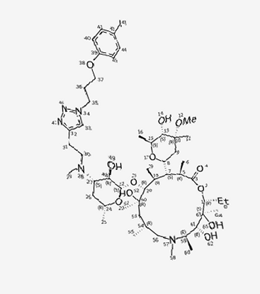 CC[C@H]1OC(=O)[C@H](C)[C@@H](C2C[C@@](C)(OC)[C@@H](O)[C@H](C)O2)[C@H](C)[C@@H](O[C@@H]2O[C@H](C)C[C@H](N(C)CCc3cn(CCCOc4ccc(I)cc4)nn3)[C@H]2O)[C@](C)(O)C[C@@H](C)CN(C)[C@H](C)[C@@H](O)[C@]1(C)O